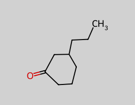 CCCC1CCCC(=O)C1